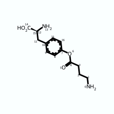 NCCCC(=O)Oc1ccc(C[C@H](N)C(=O)O)cc1